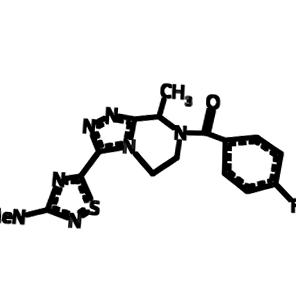 CNc1nsc(-c2nnc3n2CCN(C(=O)c2ccc(F)cc2)C3C)n1